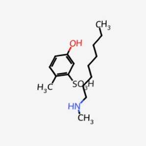 CCCCCCCCNC.Cc1ccc(O)cc1S(=O)(=O)O